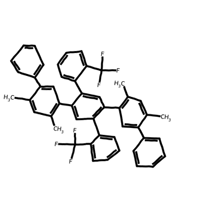 Cc1cc(C)c(-c2cc(-c3ccccc3C(F)(F)F)c(-c3cc(-c4ccccc4)c(C)cc3C)cc2-c2ccccc2C(F)(F)F)cc1-c1ccccc1